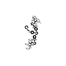 COC(=O)N[C@H](C(=O)N1CCCC1c1nc2cc([C@H]3CC[C@H](c4ccc5[nH]c([C@@H]6CCCN6C(=O)[C@@H](NC(=O)OC)C(C)C)nc5c4)N3c3ccc(OCCN4CCCCC4)cc3)ccc2[nH]1)C(C)C